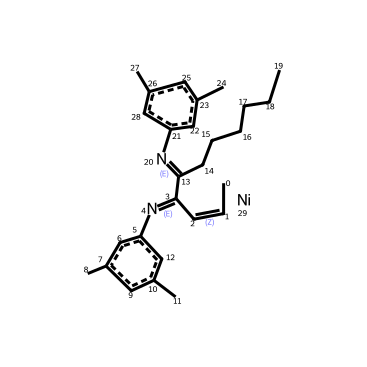 C\C=C/C(=N\c1cc(C)cc(C)c1)C(/CCCCCC)=N/c1cc(C)cc(C)c1.[Ni]